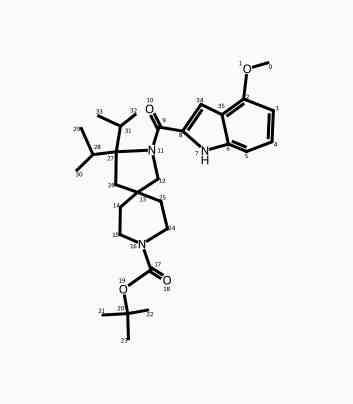 COc1cccc2[nH]c(C(=O)N3CC4(CCN(C(=O)OC(C)(C)C)CC4)CC3(C(C)C)C(C)C)cc12